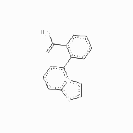 NC(=O)c1ccccc1-c1cccc2nccn12